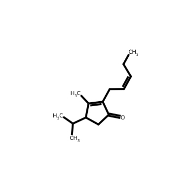 CC/C=C\CC1=C(C)C(C(C)C)CC1=O